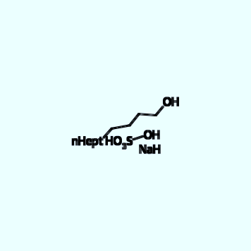 CCCCCCCCCCCO.O=S(=O)(O)O.[NaH]